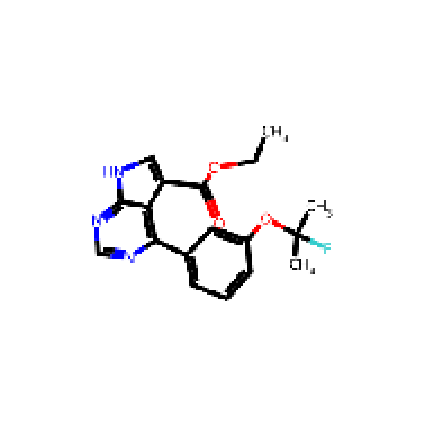 CCOC(=O)c1c[nH]c2ncnc(-c3cccc(OC(C)(C)F)c3)c12